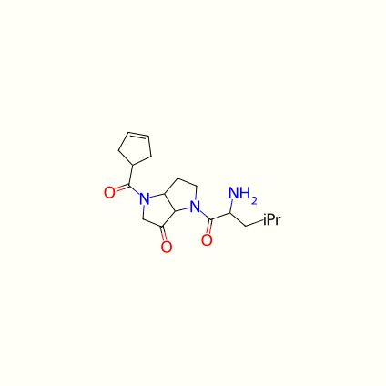 CC(C)CC(N)C(=O)N1CCC2C1C(=O)CN2C(=O)C1CC=CC1